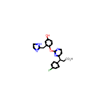 O=C(O)CC(c1ccc(F)cc1)c1ccnc(Oc2ccc(O)cc2Cc2ncc[nH]2)n1